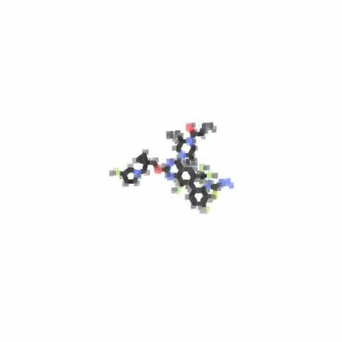 C=CC(=O)N1CC(C)N(c2nc(OCC3(CN4CCC(F)C4)CC3)nc3c(F)c(-c4ccc(F)c5sc(N)nc45)c(C(F)(F)F)cc23)CC1C